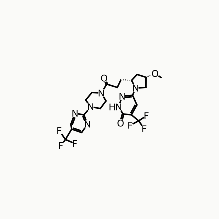 CO[C@H]1C[C@@H](CCC(=O)N2CCN(c3ncc(C(F)(F)F)cn3)CC2)N(c2cc(C(F)(F)F)c(=O)[nH]n2)C1